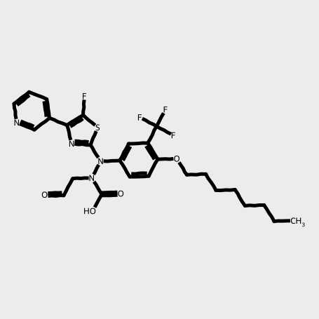 CCCCCCCCOc1ccc(N(c2nc(-c3cccnc3)c(F)s2)N(CC=O)C(=O)O)cc1C(F)(F)F